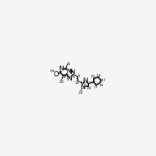 COc1nc(C)n2nc(C=Cc3nc(-c4ccccc4)cn3C)nc2c1C